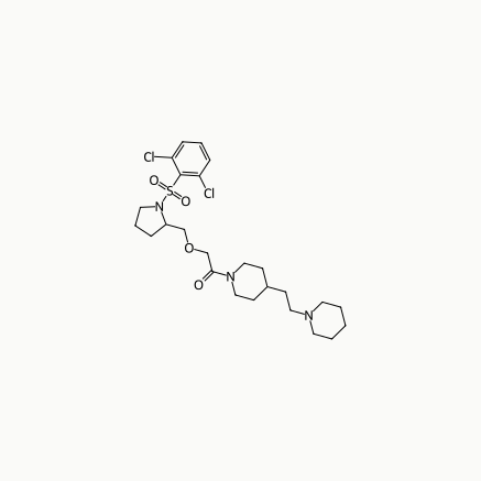 O=C(COCC1CCCN1S(=O)(=O)c1c(Cl)cccc1Cl)N1CCC(CCN2CCCCC2)CC1